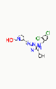 C#Cc1nn(CCc2ccc(Cl)cc2Cl)c2nc(N3CC(C4CCCN(CCO)C4)C3)cnc12